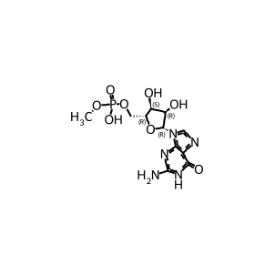 COP(=O)(O)OC[C@H]1O[C@@H](n2cnc3c(=O)[nH]c(N)nc32)[C@H](O)[C@@H]1O